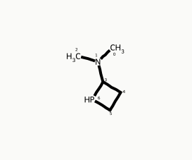 CN(C)C1CCP1